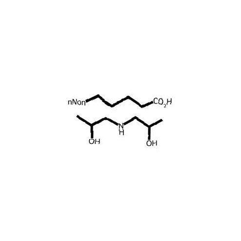 CC(O)CNCC(C)O.CCCCCCCCCCCCCC(=O)O